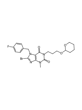 Cn1c(=O)n(CCCOC2CCCCO2)c(=O)c2c1nc(Br)n2Cc1ccc(F)cc1